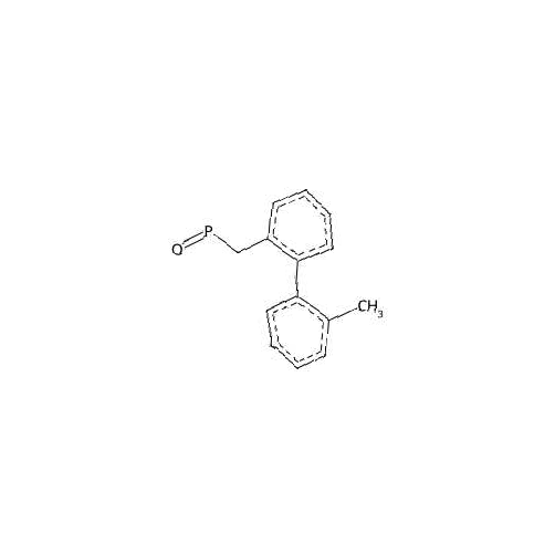 Cc1ccccc1-c1ccccc1CP=O